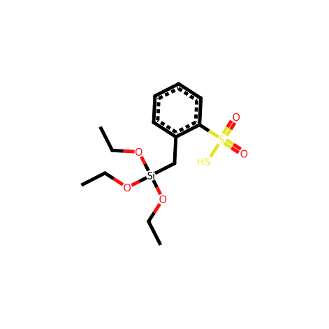 CCO[Si](Cc1ccccc1S(=O)(=O)S)(OCC)OCC